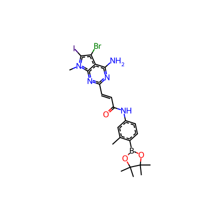 Cc1cc(NC(=O)/C=C/c2nc(N)c3c(Br)c(I)n(C)c3n2)ccc1B1OC(C)(C)C(C)(C)O1